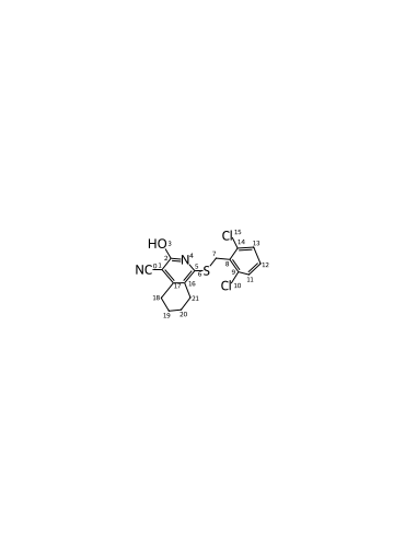 N#Cc1c(O)nc(SCc2c(Cl)cccc2Cl)c2c1CCCC2